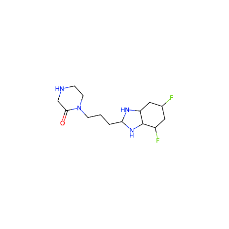 O=C1CNCCN1CCCC1NC2CC(F)CC(F)C2N1